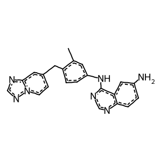 Cc1cc(Nc2ncnc3ccc(N)cc23)ccc1Cc1ccn2ncnc2c1